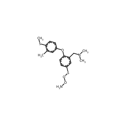 CSc1ccc(Oc2ccc(SOON)cc2CN(C)C)cc1C